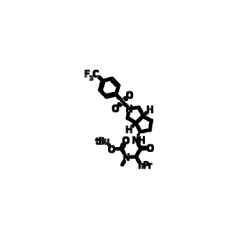 CCCC(C(=O)N[C@H]1CC[C@H]2CN(S(=O)(=O)c3ccc(C(F)(F)F)cc3)C[C@H]21)N(C)C(=O)OC(C)(C)C